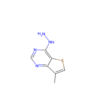 Cc1csc2c(NN)ncnc12